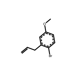 C=CCc1cc(OC)ccc1Br